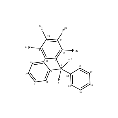 Fc1cc(P(F)(F)(c2ccccc2)c2ccccc2)c(F)c(F)c1F